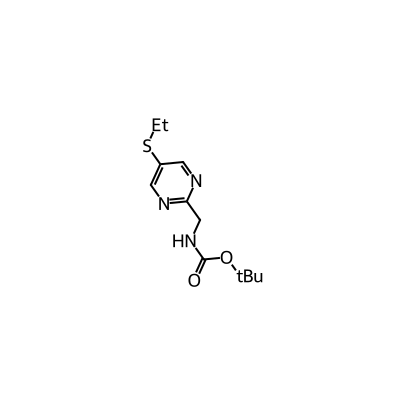 CCSc1cnc(CNC(=O)OC(C)(C)C)nc1